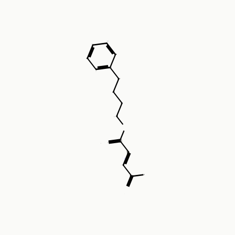 O=C(Cl)/C=C/C(=O)OCCCCc1ccccc1